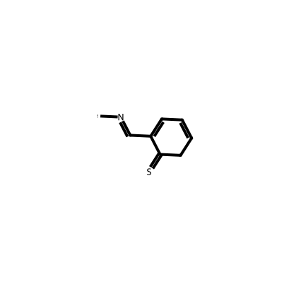 [CH]N=CC1=CC=CCC1=S